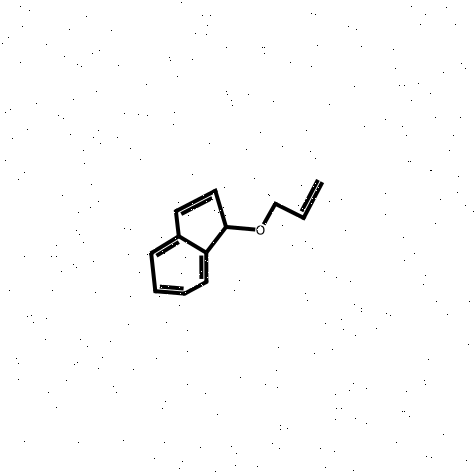 C=CCOC1C=Cc2ccccc21